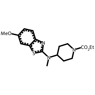 CCOC(=O)N1CCC(N(C)c2nc3ccc(OC)cc3s2)CC1